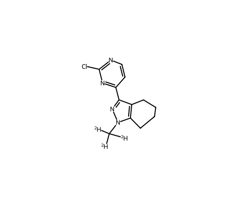 [2H]C([2H])([2H])n1nc(-c2ccnc(Cl)n2)c2c1CCCC2